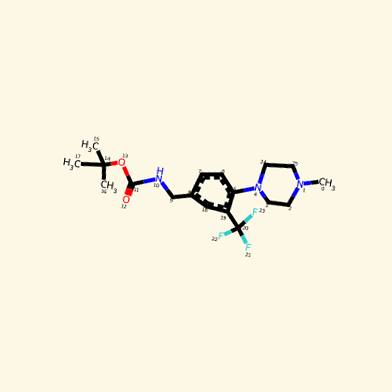 CN1CCN(c2ccc(CNC(=O)OC(C)(C)C)cc2C(F)(F)F)CC1